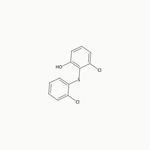 Oc1cccc(Cl)c1Sc1ccccc1Cl